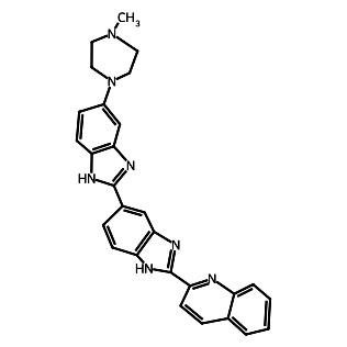 CN1CCN(c2ccc3[nH]c(-c4ccc5[nH]c(-c6ccc7ccccc7n6)nc5c4)nc3c2)CC1